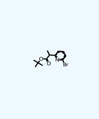 CC(C(=O)OC(C)(C)C)c1cccc(Br)n1